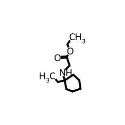 CCOC(=O)CNC1(CC)CCCCC1